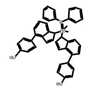 CC(C)(C)c1ccc(-c2cccc3c2C=C[CH]3[Hf]([CH3])([CH3])([CH]2C=Cc3c(-c4ccc(C(C)(C)C)cc4)cccc32)=[Si](c2ccccc2)c2ccccc2)cc1